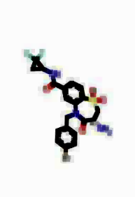 N[C@H]1CS(=O)(=O)c2ccc(C(=O)NC3CC3(F)F)cc2N(Cc2ccc(Br)cc2)C1=O